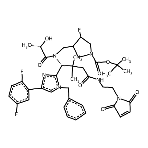 C[C@H](O)C(=O)N(CC1CN(C(=O)OC(C)(C)C)CC1F)[C@@H](c1nc(-c2cc(F)ccc2F)cn1Cc1ccccc1)C(C)(C)CC(=O)NCCN1C(=O)C=CC1=O